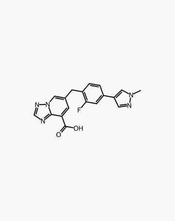 Cn1cc(-c2ccc(Cc3cc(C(=O)O)c4ncnn4c3)c(F)c2)cn1